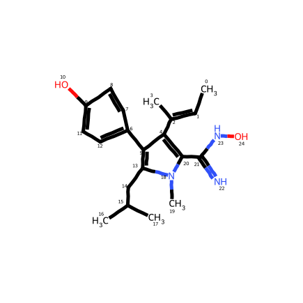 C/C=C(\C)c1c(-c2ccc(O)cc2)c(CC(C)C)n(C)c1C(=N)NO